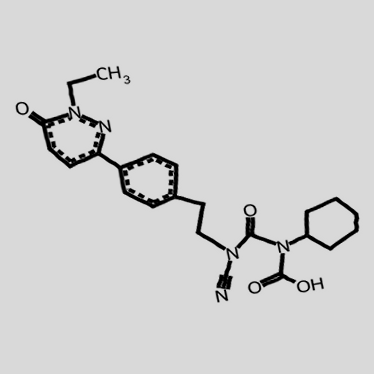 CCn1nc(-c2ccc(CCN(C#N)C(=O)N(C(=O)O)C3CCCCC3)cc2)ccc1=O